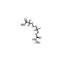 CC(C)(C)NC(=O)CCC(C)(C)OCCC(C)(C)C(=O)C(C)(C)C